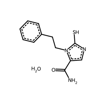 NC(=O)c1cnc(S)n1CCc1ccccc1.O